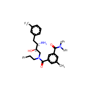 CCCN(CCC)C(=O)c1cc(C)cc(C(=O)N(CCC(C)C)C[C@@H](O)[C@@H](N)Cc2cccc(C(F)(F)F)c2)c1